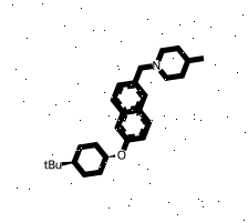 CC1CCN(Cc2ccc3cc(O[C@H]4CC[C@H](C(C)(C)C)CC4)ccc3c2)CC1